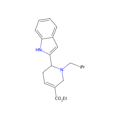 CCOC(=O)C1=CCC(c2cc3ccccc3[nH]2)N(CC(C)C)C1